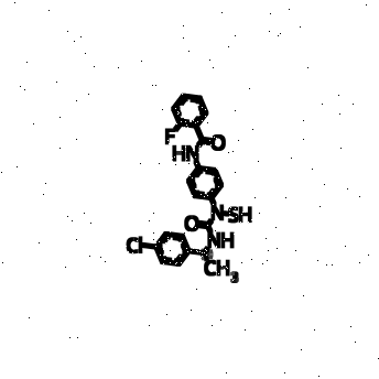 C[C@H](NC(=O)N(S)c1ccc(NC(=O)c2ccccc2F)cc1)c1ccc(Cl)cc1